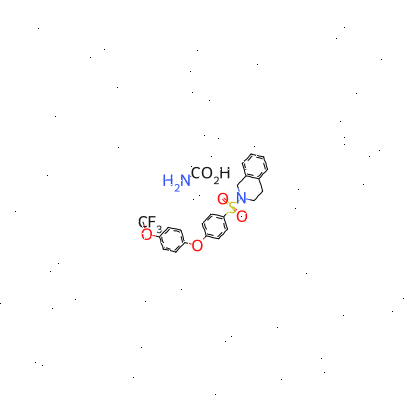 NC(=O)O.O=S(=O)(c1ccc(Oc2ccc(OC(F)(F)F)cc2)cc1)N1CCc2ccccc2C1